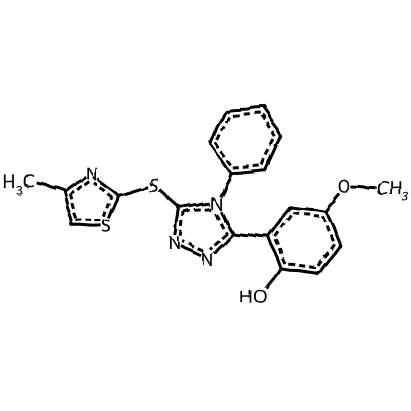 COc1ccc(O)c(-c2nnc(Sc3nc(C)cs3)n2-c2ccccc2)c1